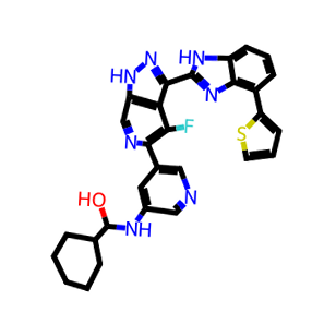 OC(Nc1cncc(-c2ncc3[nH]nc(-c4nc5c(-c6cccs6)cccc5[nH]4)c3c2F)c1)C1CCCCC1